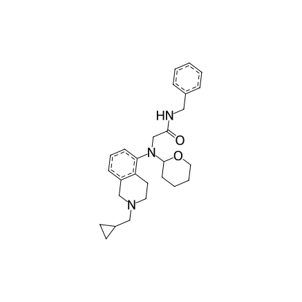 O=C(CN(c1cccc2c1CCN(CC1CC1)C2)C1CCCCO1)NCc1ccccc1